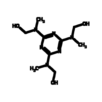 CN(CO)c1nc(N(C)CO)nc(N(C)CO)n1